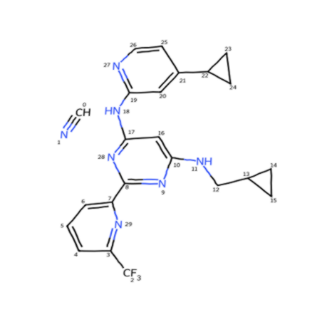 C#N.FC(F)(F)c1cccc(-c2nc(NCC3CC3)cc(Nc3cc(C4CC4)ccn3)n2)n1